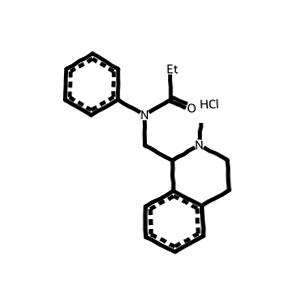 CCC(=O)N(CC1c2ccccc2CCN1C)c1ccccc1.Cl